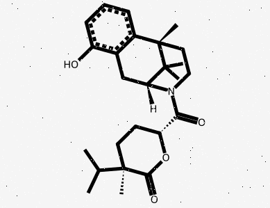 CC(C)[C@@]1(C)CC[C@H](C(=O)N2CC[C@@]3(C)c4cccc(O)c4C[C@@H]2C3(C)C)OC1=O